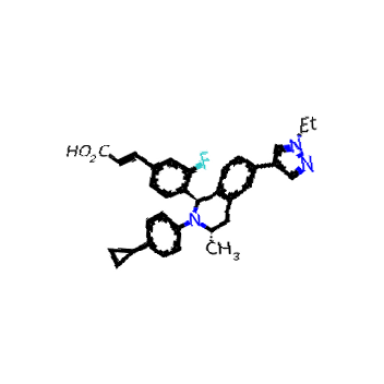 CCn1cc(-c2ccc3c(c2)C[C@H](C)N(c2ccc(C4CC4)cc2)[C@H]3c2ccc(/C=C/C(=O)O)cc2F)cn1